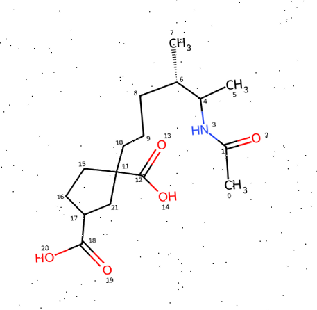 CC(=O)NC(C)[C@@H](C)CCCC1(C(=O)O)CCC(C(=O)O)C1